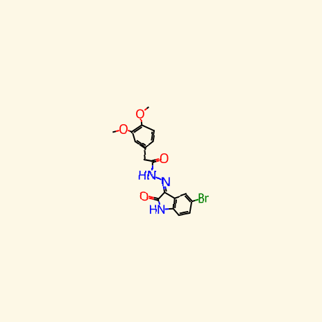 COc1ccc(CC(=O)N/N=C2\C(=O)Nc3ccc(Br)cc32)cc1OC